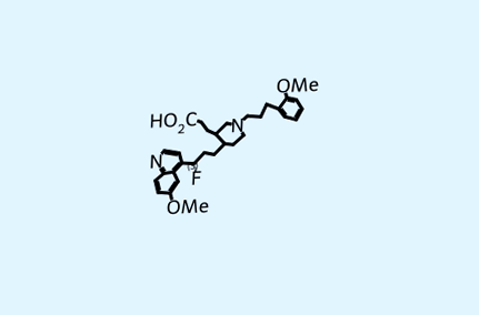 COc1ccc2nccc([C@@H](F)CCC3CCN(CCCc4ccccc4OC)CC3CCC(=O)O)c2c1